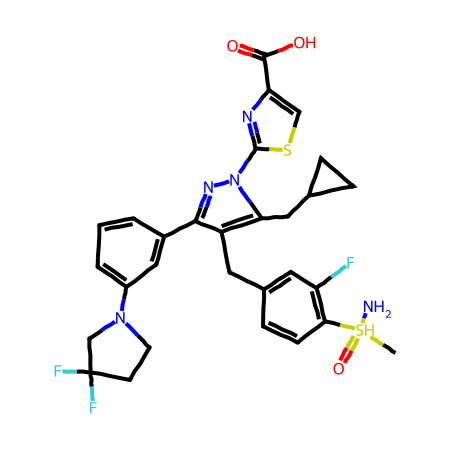 C[SH](N)(=O)c1ccc(Cc2c(-c3cccc(N4CCC(F)(F)C4)c3)nn(-c3nc(C(=O)O)cs3)c2CC2CC2)cc1F